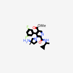 COC(=O)c1cnc(C(=O)NC(C)C2CC2)c(N2CC[C@](C)(N)C2)c1-c1cc(F)cc(F)c1